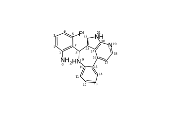 Nc1cccc(F)c1C1Nc2ccccc2-c2ccnc3[nH]cc1c23